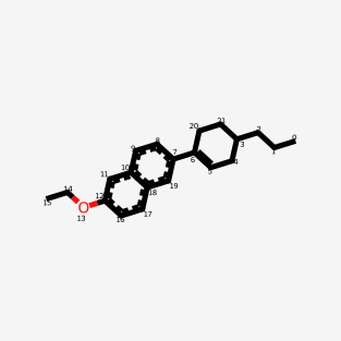 CCCC1CC=C(c2ccc3cc(OCC)ccc3c2)CC1